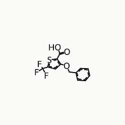 O=C(O)c1sc(C(F)(F)F)cc1OCc1ccccc1